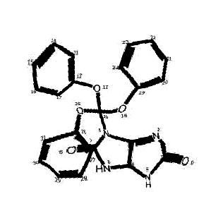 O=C1N=C2C(N1)NC(=O)N2C(Oc1ccccc1)(Oc1ccccc1)Oc1ccccc1